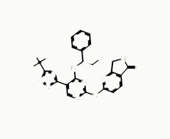 CC(C)(O)c1nnc(-c2cnc(Nc3ccc4c(n3)CNC4=O)nc2N[C@H](CF)c2ccccc2)o1